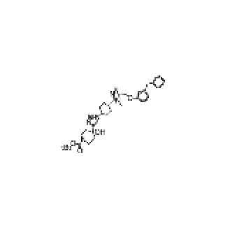 Cn1c(COc2cccc(Cc3ccccc3)c2)nnc1[C@H]1CC[C@H](n2cc(C3(O)CCN(C(=O)OC(C)(C)C)CC3)nn2)CC1